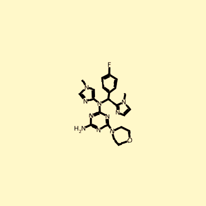 Cn1cnc(N(c2nc(N)nc(N3CCOCC3)n2)C(c2ccc(F)cc2)c2nccn2C)c1